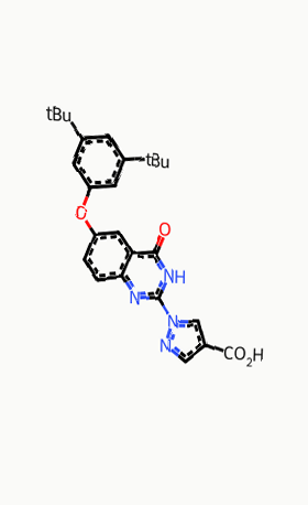 CC(C)(C)c1cc(Oc2ccc3nc(-n4cc(C(=O)O)cn4)[nH]c(=O)c3c2)cc(C(C)(C)C)c1